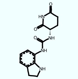 O=C1CC[C@H](NC(=O)Nc2cccc3c2NCC3)C(=O)N1